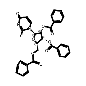 O=C(OC[C@H]1O[C@@H](n2ccc(=O)nc2Cl)[C@H](OC(=O)c2ccccc2)[C@@H]1OC(=O)c1ccccc1)c1ccccc1